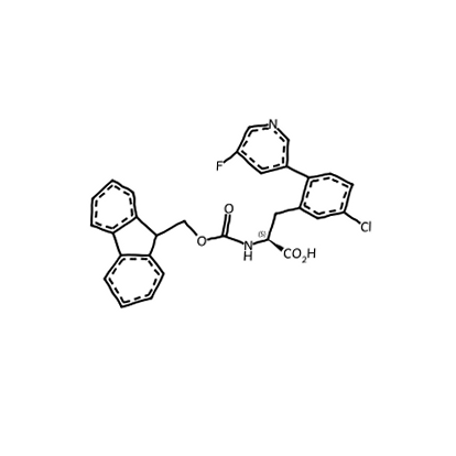 O=C(N[C@@H](Cc1cc(Cl)ccc1-c1cncc(F)c1)C(=O)O)OCC1c2ccccc2-c2ccccc21